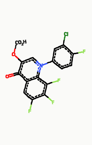 O=C(O)Oc1cn(-c2ccc(F)c(Cl)c2)c2c(F)c(F)c(F)cc2c1=O